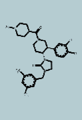 CC(=O)N1CCC(C(=O)N2CC[C@@H](N3CCN(Cc4cc(C(F)(F)F)cc(C(F)(F)F)c4)C3=O)[C@H](c3ccc(Cl)c(Cl)c3)C2)CC1